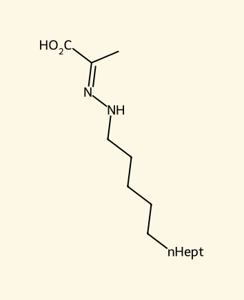 CCCCCCCCCCCCNN=C(C)C(=O)O